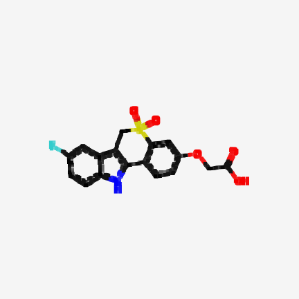 O=C(O)COc1ccc2c(c1)S(=O)(=O)Cc1c-2[nH]c2ccc(F)cc12